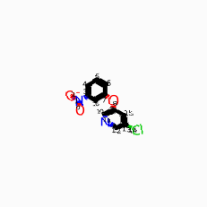 O=[N+]([O-])c1cccc(Oc2cncc(Cl)c2)c1